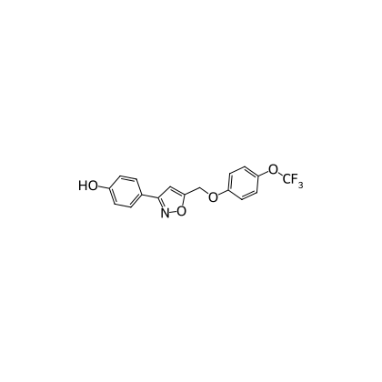 Oc1ccc(-c2cc(COc3ccc(OC(F)(F)F)cc3)on2)cc1